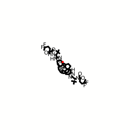 CC1(C(=O)N[C@H](c2nc3cc([C@@H]4CC5CCC4CCC4CCC(CC5)[C@H](c5ccc6[nH]c([C@@H](N7C(=O)C78CCC(F)(F)CO8)C(C)(C)C)nc6c5)C4)ccc3[nH]2)C(C)(C)C)CCC(F)(F)CO1